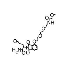 COCC(=O)NCCOCCOCCOc1cccc2c1C(=O)N(C(CCC=O)C(N)=O)C2=O